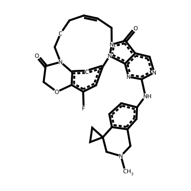 CN1Cc2cc(Nc3ncc4c(=O)n5n(c4n3)-c3cc(F)c4c(c3)N(CCC/C=C\C5)C(=O)CO4)ccc2C2(CC2)C1